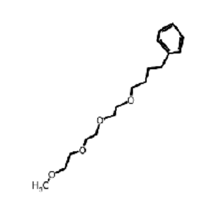 COCCOCCOCCOCCCCc1ccccc1